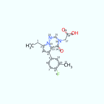 CCc1cc(-c2ccc(F)c(C)c2)c2c(=O)n(CC(=O)O)cnn12